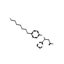 CCCCCCCCc1ccc(OC(CC(C)=O)c2nccs2)cc1